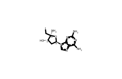 Nc1nc(N)c2ncn([C@H]3C[C@H](O)[C@@](N)(CI)O3)c2n1